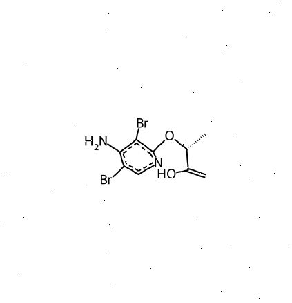 C=C(O)[C@@H](C)Oc1ncc(Br)c(N)c1Br